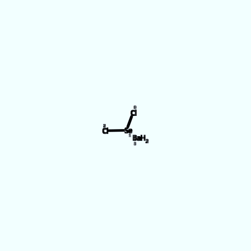 Cl[Se]Cl.[BaH2]